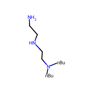 CCCCN(CCCC)CCNCCN